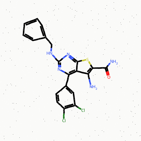 NC(=O)c1sc2nc(NCc3ccccc3)nc(-c3ccc(Cl)c(Cl)c3)c2c1N